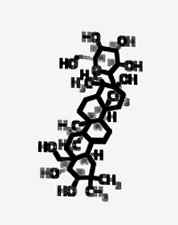 CC1(C)C[C@@H]2C3=CC[C@@H]4[C@@]5(C)CC[C@@](O)(C6O[C@H](CO)[C@@H](O)[C@H](O)[C@H]6O)C(C)(C)C5CC[C@@]4(C)[C@]3(C)CC[C@@]2(CO)[C@@H](O)[C@@H]1O